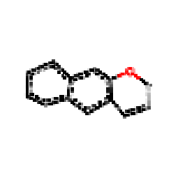 [CH]1C=Cc2cc3ccccc3cc2O1